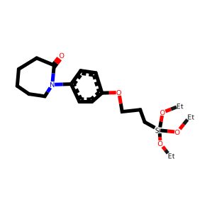 CCO[Si](CCCOc1ccc(N2CCCCCC2=O)cc1)(OCC)OCC